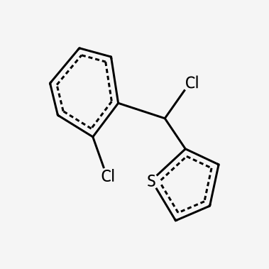 Clc1ccccc1C(Cl)c1cccs1